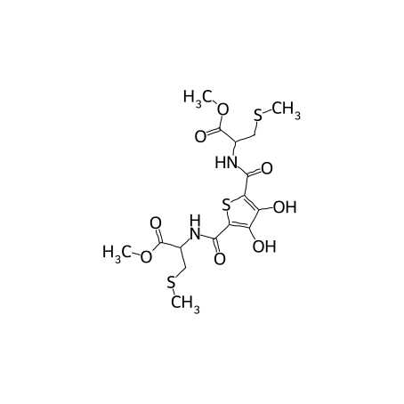 COC(=O)C(CSC)NC(=O)c1sc(C(=O)NC(CSC)C(=O)OC)c(O)c1O